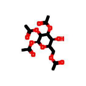 CC(=O)OCC1O[C@H](OC(C)=O)C(OC(C)=O)C(OC(C)=O)[C@H]1O